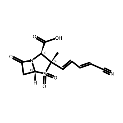 C[C@]1(C=CC=CC#N)[C@H](C(=O)O)N2C(=O)C[C@H]2S1(=O)=O